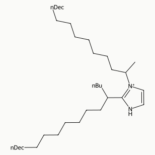 CCCCCCCCCCCCCCCCCC(CCCC)c1[nH]cc[n+]1C(C)CCCCCCCCCCCCCCCCC